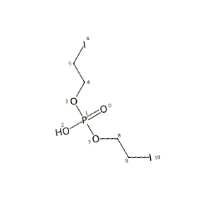 O=P(O)(OCCI)OCCI